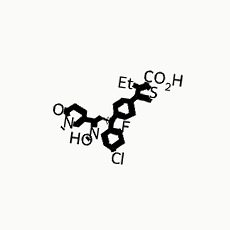 CCc1c(-c2ccc([C@H](CC(=NO)c3ccc(=O)n(C)c3)c3ccc(Cl)cc3F)cc2)csc1C(=O)O